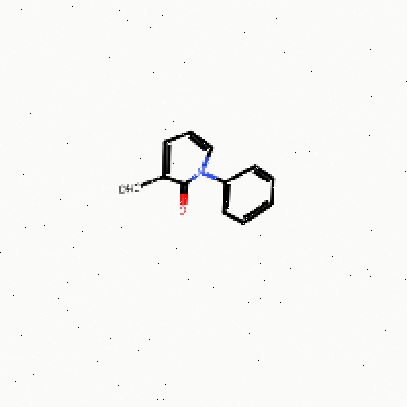 O=Cc1cccn(-c2ccccc2)c1=O